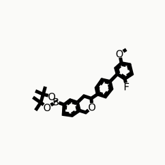 COc1ccc(F)c(-c2ccc(C3Cc4cc(B5OC(C)(C)C(C)(C)O5)ccc4CO3)cc2)c1